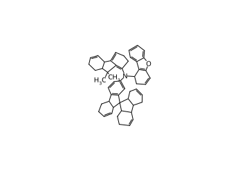 CC1(C)C2=C(N(c3ccc4c(c3)C3(C5C=CCCC45)C4CCC=CC4C4CC=CCC43)C3CC=Cc4oc5ccccc5c43)CCC=C2C2C=CCCC21